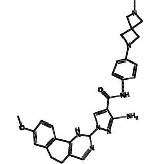 COc1ccc2c(c1)CCC1=C2NC(n2cc(C(=O)Nc3ccc(N4CC5(CN(C)C5)C4)cc3)c(N)n2)N=C1